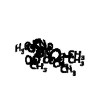 CCCO[C@@H]1[C@@H](CCC(C)C)CCC[C@H](NC(=O)c2nccc(OC)c2OCOC(C)=O)C(=O)O[C@H]1C